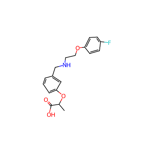 CC(Oc1cccc(CNCCOc2ccc(F)cc2)c1)C(=O)O